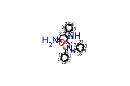 NC(=O)Cc1c(CCN(Cc2ccccc2)Cc2ccccc2)[nH]c2ccccc12